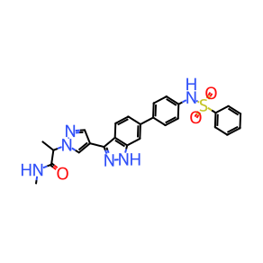 CNC(=O)C(C)n1cc(-c2n[nH]c3cc(-c4ccc(NS(=O)(=O)c5ccccc5)cc4)ccc23)cn1